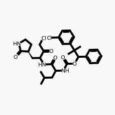 CC(C)CC(NC(=O)OC(c1ccccc1)C(C)(C)c1cccc(Cl)c1)C(=O)NC(C[C@@H]1CCNC1=O)C(=O)CCl